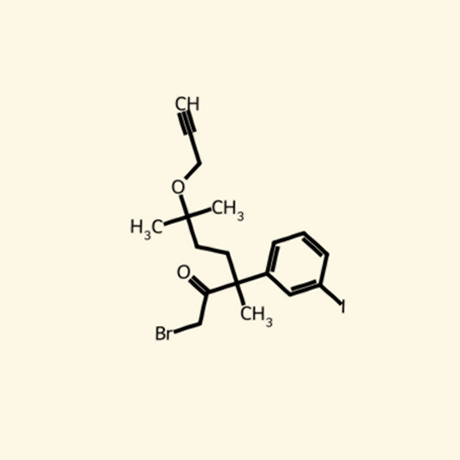 C#CCOC(C)(C)CCC(C)(C(=O)CBr)c1cccc(I)c1